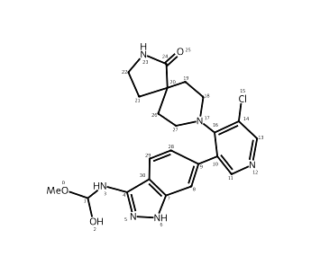 COC(O)Nc1n[nH]c2cc(-c3cncc(Cl)c3N3CCC4(CCNC4=O)CC3)ccc12